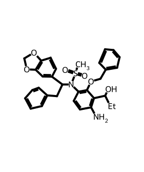 CCC(O)c1c(N)ccc(N(C(Cc2ccccc2)c2ccc3c(c2)OCO3)S(C)(=O)=O)c1OCc1ccccc1